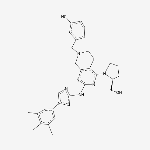 Cc1cc(-n2cnc(Nc3nc4c(c(N5CCC[C@H]5CO)n3)CCN(Cc3cccc(C#N)c3)C4)c2)cc(C)c1C